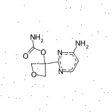 NC(=O)OC1(c2nccc(N)n2)COC1